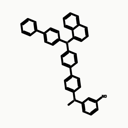 CN(c1ccc(-c2ccc(N(c3ccc(-c4ccccc4)cc3)c3cccc4ccccc34)cc2)cc1)c1cccc(N=O)c1